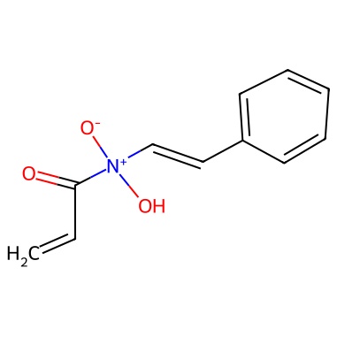 C=CC(=O)[N+]([O-])(O)C=Cc1ccccc1